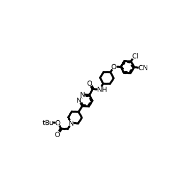 CC(C)(C)OC(=O)CN1CCC(c2ccc(C(=O)NC3CCC(Oc4ccc(C#N)c(Cl)c4)CC3)nn2)CC1